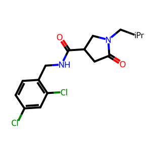 CC(C)CN1CC(C(=O)NCc2ccc(Cl)cc2Cl)CC1=O